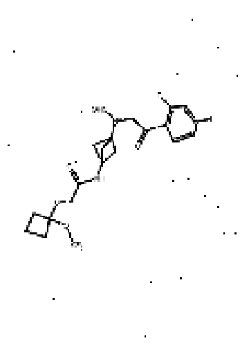 O=CN(CC(=O)c1ccc(F)cc1F)C12CC(NC(=O)COC3(OC(F)(F)F)CCC3)(C1)C2